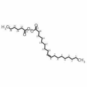 CCCCCCCC/C=C\CCCCCCCC(=O)OOC(=O)CCCCC